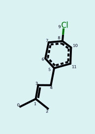 CC(C)=CCc1ccc(Cl)cc1